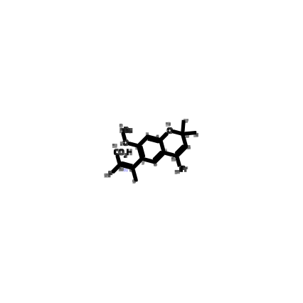 CCCCOc1cc2c(cc1/C(C)=C(/F)C(=O)O)C(C(C)C)=CC(C)(C)O2